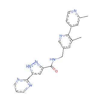 Cc1cc(-c2ncc(CNC(=O)c3cc(-c4ncccn4)[nH]n3)cc2C)ccn1